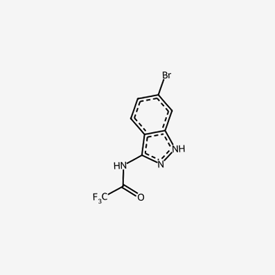 O=C(Nc1n[nH]c2cc(Br)ccc12)C(F)(F)F